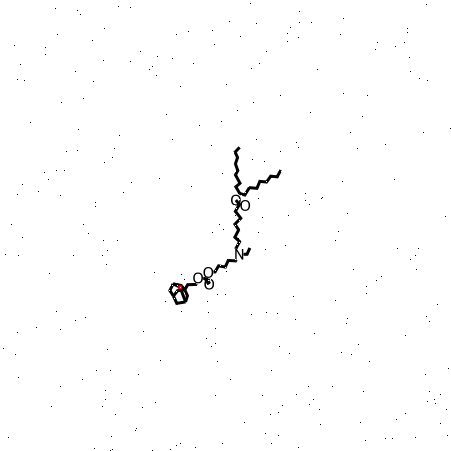 CCCCCCCCC(CCCCCCCC)OC(=O)CCCCCCCN(CC)CCCCCOC(=O)OCCC12CC3CC(CC(C3)C1)C2